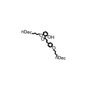 CCCCCCCCCCCCCCOc1ccc(/C=C/C(=O)c2c(O)cccc2OCCCCCCCCCCCCCC)cc1